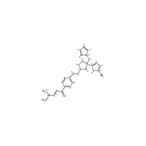 CN(C)/C=C/C(=O)c1ccc(OCC2COC(Cn3cncn3)(c3ccc(Br)s3)O2)cc1